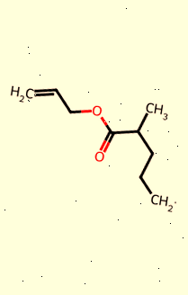 [CH2]CCC(C)C(=O)OCC=C